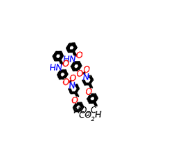 O=C(O)Cc1ccc(OCC2CCN(C(=O)Oc3ccc(NC(=O)c4ccccc4)cc3)CC2)cc1.O=C(O)c1ccc(OCC2CCN(C(=O)Oc3ccc(NC(=O)c4ccccc4)cc3)CC2)cc1